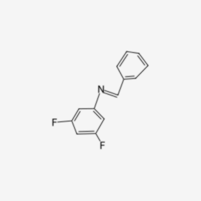 Fc1cc(F)cc(/N=C/c2ccccc2)c1